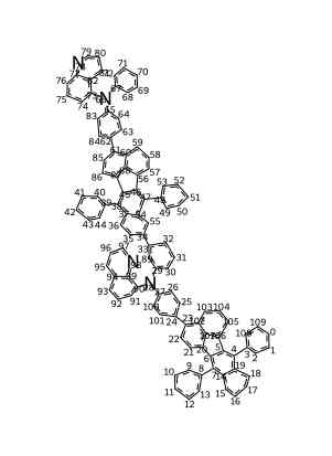 c1ccc(-c2c3c(c(-c4ccccc4)c4ccccc24)-c2ccc(-c4ccc(N(c5cccc(-c6ccc7c(-c8ccccc8)c8c(c(-c9ccccc9)c7c6)-c6cccc7c(-c9ccc(N(c%10ccccc%10)c%10cccc%11ncccc%10%11)cc9)ccc-8c67)c5)c5cccc6cccnc56)cc4)c4cccc-3c24)cc1